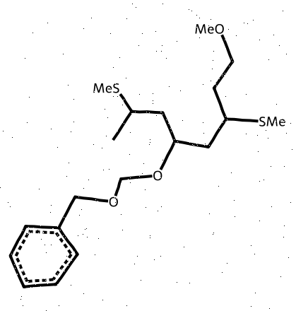 COCCC(CC(CC(C)SC)OCOCc1ccccc1)SC